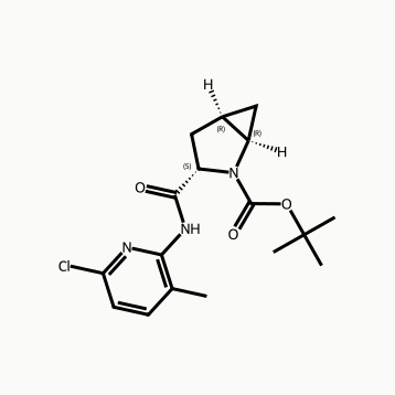 Cc1ccc(Cl)nc1NC(=O)[C@@H]1C[C@H]2C[C@H]2N1C(=O)OC(C)(C)C